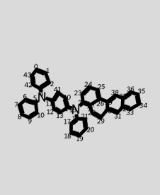 c1ccc(N(c2ccccc2)c2ccc(N(c3ccccc3)c3cccc4c3ccc3cc5ccccc5cc34)cc2)cc1